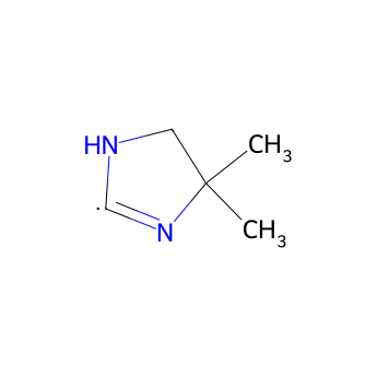 CC1(C)CN[C]=N1